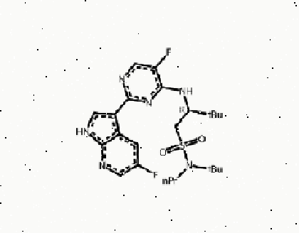 CCCN(C(C)(C)C)S(=O)(=O)C[C@@H](Nc1nc(-c2c[nH]c3ncc(F)cc23)ncc1F)C(C)(C)C